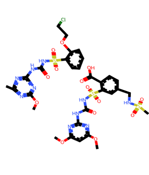 COc1cc(OC)nc(NC(=O)NS(=O)(=O)c2cc(CNS(C)(=O)=O)ccc2C(=O)O)n1.COc1nc(C)nc(NC(=O)NS(=O)(=O)c2ccccc2OCCCl)n1